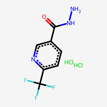 Cl.Cl.NNC(=O)c1ccc(C(F)(F)F)nc1